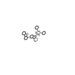 CN1C(n2c3c(c4cc(-c5cccc6c5oc5ccccc56)ccc42)C=CCC3)=NC(c2ccccc2)=CC1c1ccccc1